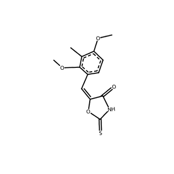 COc1ccc(C=C2OC(=S)NC2=O)c(OC)c1C